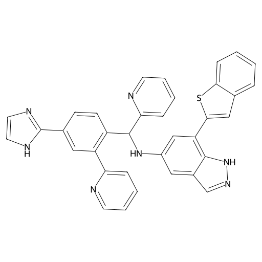 c1ccc(-c2cc(-c3ncc[nH]3)ccc2C(Nc2cc(-c3cc4ccccc4s3)c3[nH]ncc3c2)c2ccccn2)nc1